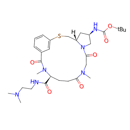 CN(C)CCNC(=O)[C@@H]1CCC(=O)N(C)CC(=O)N2C[C@H](NC(=O)OC(C)(C)C)C[C@H]2CSc2cccc(c2)C(=O)N1C